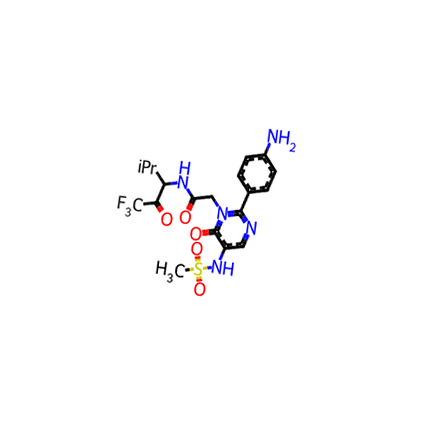 CC(C)C(NC(=O)Cn1c(-c2ccc(N)cc2)ncc(NS(C)(=O)=O)c1=O)C(=O)C(F)(F)F